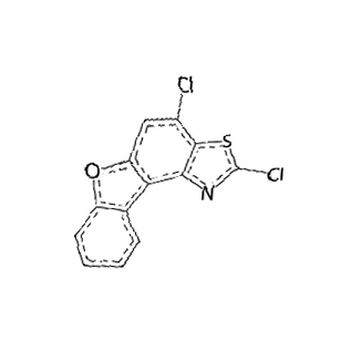 Clc1nc2c(s1)c(Cl)cc1oc3ccccc3c12